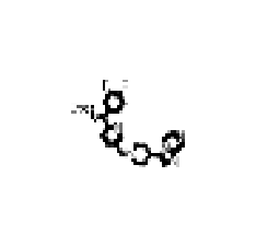 CCO/N=C(\c1ccc(F)c(F)c1)c1ccc(CN2CCC(c3cnc4cnccn34)CC2)cn1